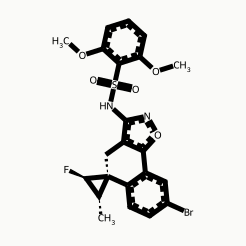 COc1cccc(OC)c1S(=O)(=O)Nc1noc2c1C[C@]1(c3ccc(Br)cc3-2)[C@H](C)[C@H]1F